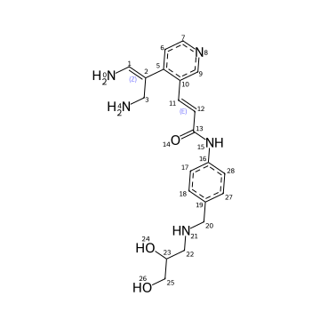 N/C=C(\CN)c1ccncc1/C=C/C(=O)Nc1ccc(CNCC(O)CO)cc1